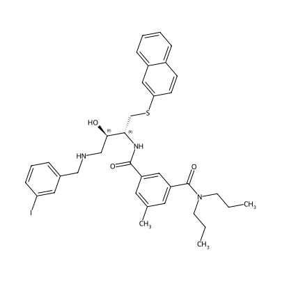 CCCN(CCC)C(=O)c1cc(C)cc(C(=O)N[C@@H](CSc2ccc3ccccc3c2)[C@H](O)CNCc2cccc(I)c2)c1